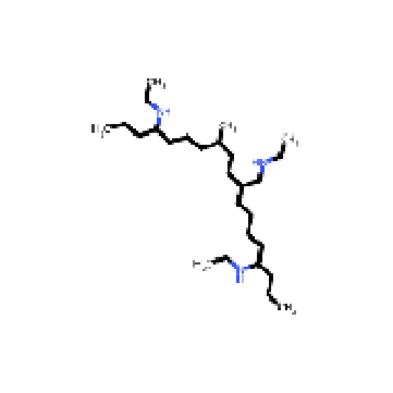 CCCC(CCCCC(CCC(C)CCCC(CCC)NCC)CNCC)NCC